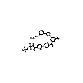 CCOc1cncc(-c2cnn(-c3cc(C(=O)N4CCN(c5ccc(C(=O)NS(=O)(=O)CCC(F)(F)F)nn5)CC4)cc(C(F)(F)F)c3)c2)c1